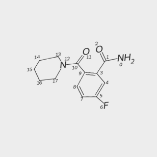 NC(=O)c1cc(F)ccc1C(=O)N1CCCCC1